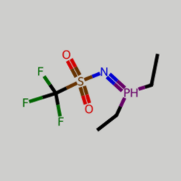 CC[PH](CC)=NS(=O)(=O)C(F)(F)F